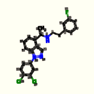 C=C(NCCc1cccc(F)c1)c1cccc2c1cnn2-c1ccc(Cl)c(Cl)c1